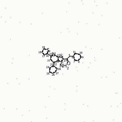 Nc1c(C(=O)Cc2ccccc2)sc2nc(-c3cccs3)cc(-c3ccccc3)c12